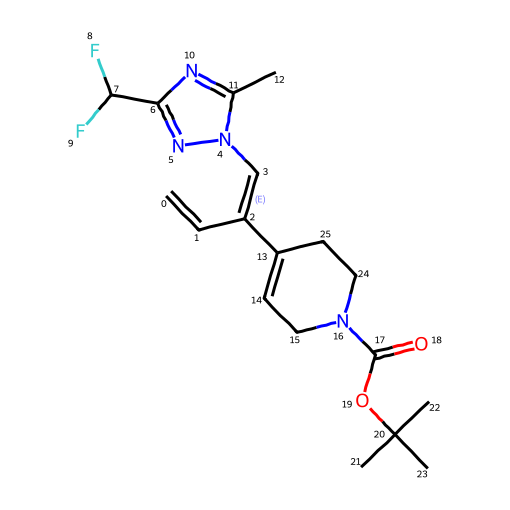 C=C/C(=C\n1nc(C(F)F)nc1C)C1=CCN(C(=O)OC(C)(C)C)CC1